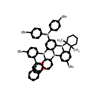 CC(C)(C)c1ccc(N(c2ccc(C(C)(C)C)cc2)c2cc3c4c(c2)N2c5c(cc(C(C)(C)C)cc5C5(C)CCCCC25C)B4c2ccc4c(oc5ccccc54)c2N3c2ccc(C(C)(C)C)cc2-c2ccccc2)cc1